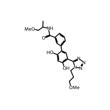 COCCCn1nnnc1-c1cc(-c2cccc(C(=O)NC(C)COC)c2)c(O)cc1O